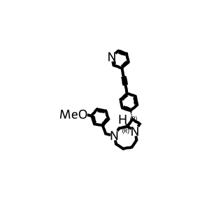 COc1cccc(CN2CCCCN3C[C@@H](c4ccc(C#Cc5cccnc5)cc4)[C@@H]3C2)c1